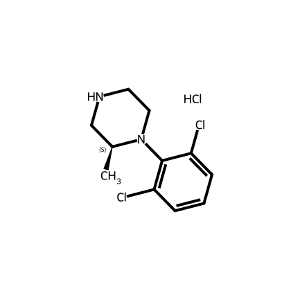 C[C@H]1CNCCN1c1c(Cl)cccc1Cl.Cl